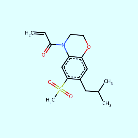 C=CC(=O)N1CCOc2cc(CC(C)C)c(S(C)(=O)=O)cc21